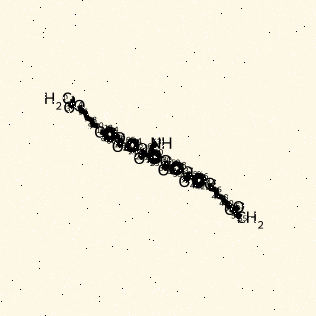 C=CC(=O)OCCCCCCOc1ccc(OC(=O)[C@H]2CC[C@@H](OC(=O)c3ccc(OC(=O)[C@H]4CC[C@@H](OC(=O)c5ccc(OCCCCCCOC(=O)C=C)cc5)CC4)cc3C=N)CC2)cc1